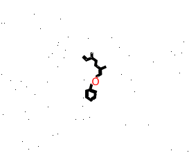 C=CC(C)CCC(C)=CCOCc1ccccc1